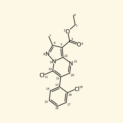 CCOC(=O)c1c(C)nn2c(Cl)c(-c3ccccc3Cl)cnc12